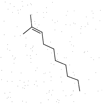 [CH2]/C(C)=C/CCCCCCC